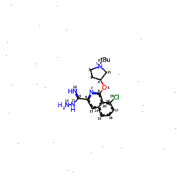 CC(C)(C)N1CC[C@H](Oc2nc(C(=N)NN)cc3cccc(Cl)c23)C1